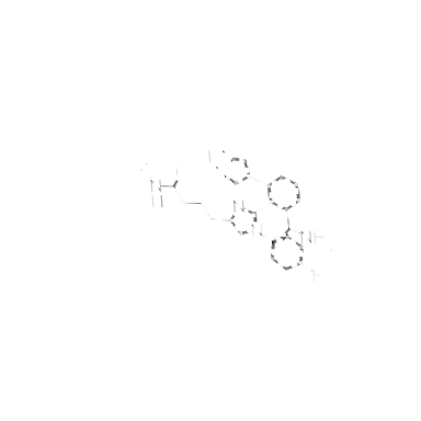 CNC(=O)CCCc1cn(-c2ccc(F)cc2)c(-c2c(C(N)=O)cccc2-c2cn[nH]c2)n1